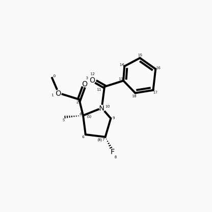 COC(=O)[C@]1(C)C[C@@H](F)CN1C(=O)c1ccccc1